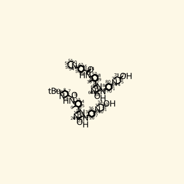 Cc1c(NC(=O)c2ccc(C(C)(C)C)nc2)cccc1-c1cn(C)c(=O)c(Nc2ccc(N3CCC(O)CC3)cc2)n1.Cc1c(NC(=O)c2ccc(N3CCCCC3)cc2)cccc1-c1cn(C)c(=O)c(Nc2ccc(N3CCC(O)CC3)cc2)n1